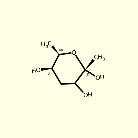 C[C@H]1O[C@](C)(O)C(O)C[C@H]1O